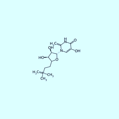 C=C1NC(=O)C(O)=CN1[C@@H]1OC(CCP(=C)(C)C)[C@@H](O)[C@H]1O